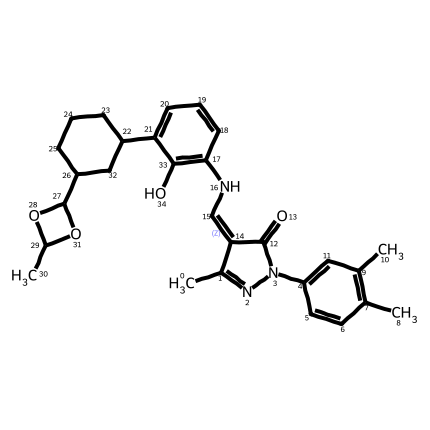 CC1=NN(c2ccc(C)c(C)c2)C(=O)/C1=C\Nc1cccc(C2CCCC(C3OC(C)O3)C2)c1O